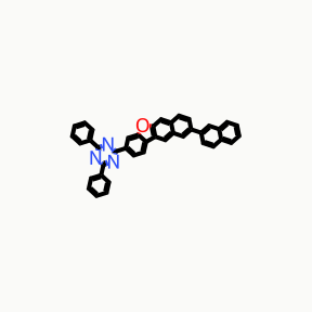 c1ccc(-c2nc(-c3ccccc3)nc(-c3ccc4c(c3)oc3cc5ccc(-c6ccc7ccccc7c6)cc5cc34)n2)cc1